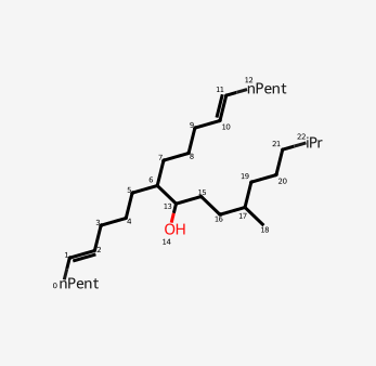 CCCCCC=CCCCC(CCCC=CCCCCC)C(O)CCC(C)CCCC(C)C